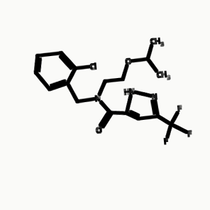 CC(C)OCCN(Cc1ccccc1Cl)C(=O)c1cc(C(F)(F)F)n[nH]1